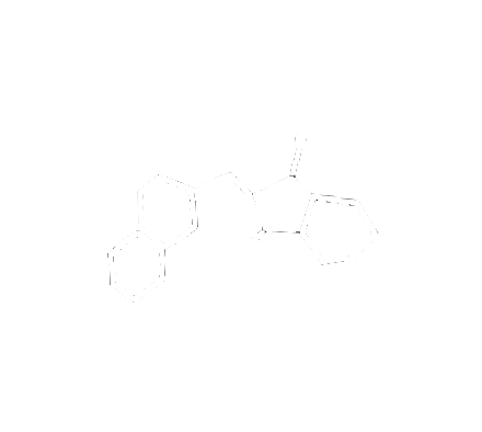 O=C1C(=Cc2ccc3ccccc3c2)C(=O)c2ccccc21